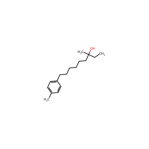 CCC(C)(O)CCCCCCc1ccc(C)cc1